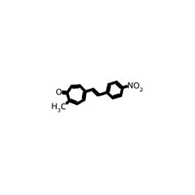 Cc1ccc(C=Cc2ccc([N+](=O)[O-])cc2)ccc1=O